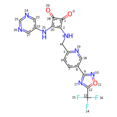 O=c1c(NCc2ccc(-c3noc(C(F)(F)F)n3)cn2)c(Nc2cncnc2)c1=O